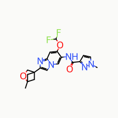 Cn1ccc(C(=O)Nc2cn3cc(C45COC(C)(C4)C5)nc3cc2OC(F)F)n1